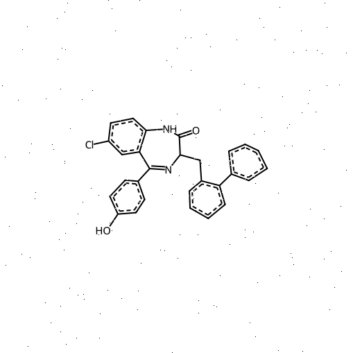 O=C1Nc2ccc(Cl)cc2C(c2ccc(O)cc2)=NC1Cc1ccccc1-c1ccccc1